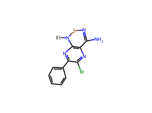 CCN1SN=C(N)c2nc(Br)c(-c3ccccc3)nc21